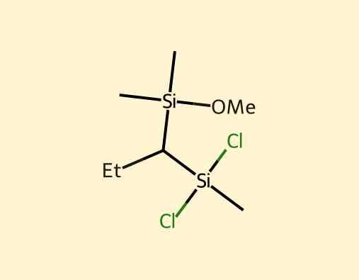 CCC([Si](C)(Cl)Cl)[Si](C)(C)OC